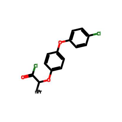 CCCC(Oc1ccc(Oc2ccc(Cl)cc2)cc1)C(=O)Cl